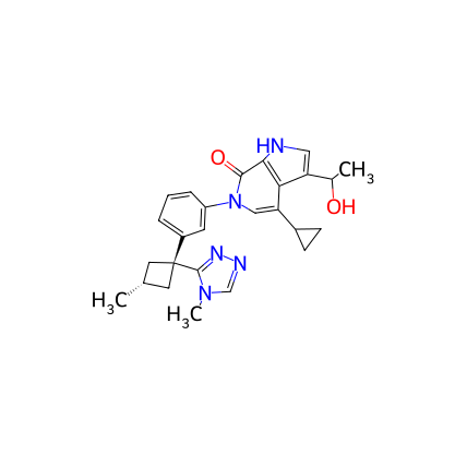 CC(O)c1c[nH]c2c(=O)n(-c3cccc([C@]4(c5nncn5C)C[C@@H](C)C4)c3)cc(C3CC3)c12